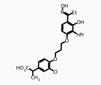 CCCc1c(OCCCOc2ccc(C(C)C(=O)O)cc2Cl)ccc(C(CC)=NO)c1O